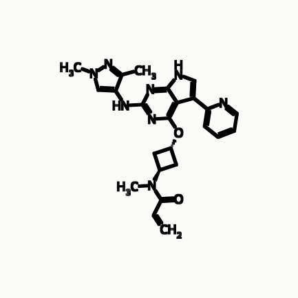 C=CC(=O)N(C)[C@H]1C[C@H](Oc2nc(Nc3cn(C)nc3C)nc3[nH]cc(-c4ccccn4)c23)C1